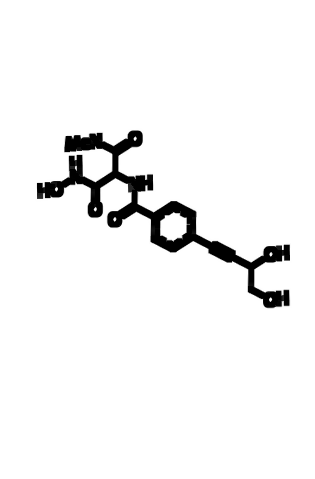 CNC(=O)C(NC(=O)c1ccc(C#CC(O)CO)cc1)C(=O)NO